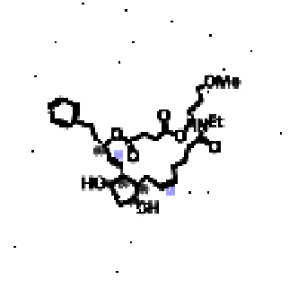 CCNC(=O)CCC/C=C\C[C@@H]1[C@@H](/C=C/[C@H](CCc2ccccc2)OC(=O)CCC(=O)OCCCCOC)[C@H](O)C[C@@H]1O